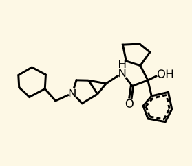 O=C(NC1C2CN(CC3CCCCC3)CC21)C(O)(c1ccccc1)C1CCCC1